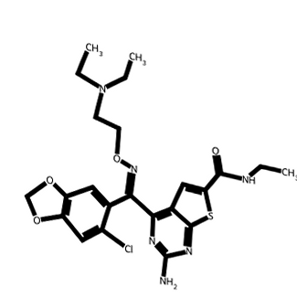 CCNC(=O)c1cc2c(C(=NOCCN(CC)CC)c3cc4c(cc3Cl)OCO4)nc(N)nc2s1